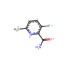 Cc1ccc(F)c(C(N)=O)n1